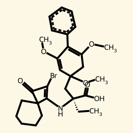 CC[C@@](CC1(OC)C=C(OC)C(c2ccccc2)=C(OC)C1)(NC1=C(Br)C(=O)C12CCCCC2)C(=O)O